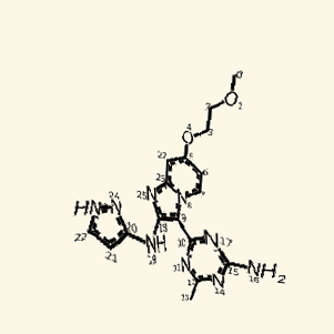 COCCOc1ccn2c(-c3nc(C)nc(N)n3)c(Nc3cc[nH]n3)nc2c1